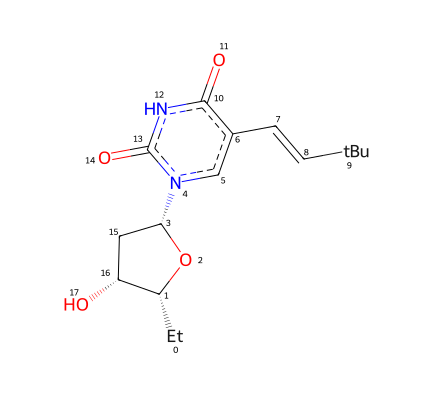 CC[C@H]1O[C@@H](n2cc(/C=C/C(C)(C)C)c(=O)[nH]c2=O)C[C@H]1O